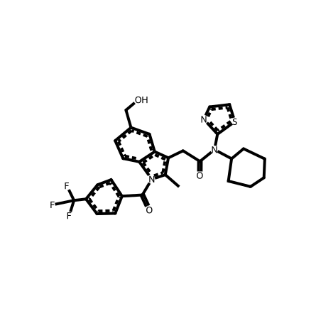 Cc1c(CC(=O)N(c2nccs2)C2CCCCC2)c2cc(CO)ccc2n1C(=O)c1ccc(C(F)(F)F)cc1